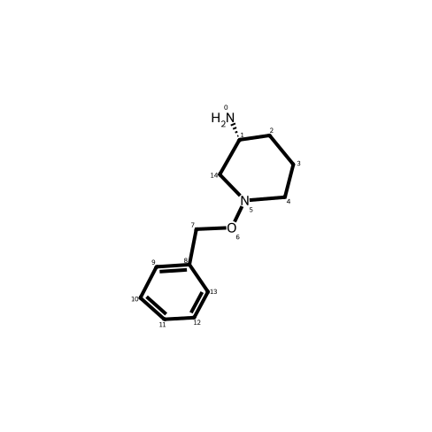 N[C@@H]1CCCN(OCc2ccccc2)C1